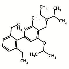 CCc1cccc(CC)c1-c1cc(OC(C)C)c(CN(CC)C(C)C)c(C)n1